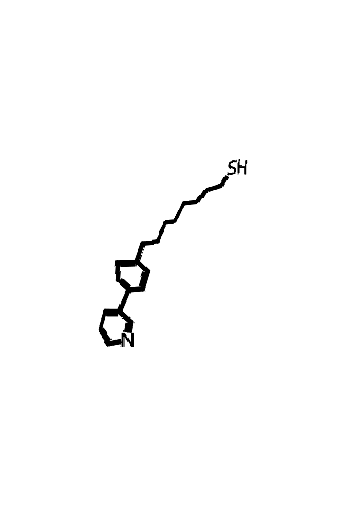 SCCCCCCCCc1ccc(-c2cccnc2)cc1